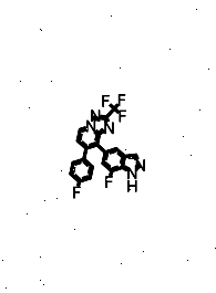 Fc1ccc(-c2ccn3nc(C(F)(F)F)nc3c2-c2cc(F)c3[nH]ncc3c2)cc1